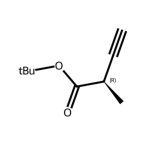 C#C[C@@H](C)C(=O)OC(C)(C)C